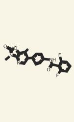 Cc1c(-c2ccc(NC(=O)c3c(F)cccc3F)cc2)cnc2c1oc(=O)n2C